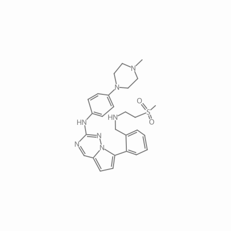 CN1CCN(c2ccc(Nc3ncc4ccc(-c5ccccc5CNCCS(C)(=O)=O)n4n3)cc2)CC1